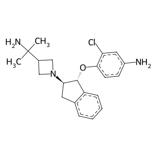 CC(C)(N)C1CN([C@@H]2Cc3ccccc3[C@H]2Oc2ccc(N)cc2Cl)C1